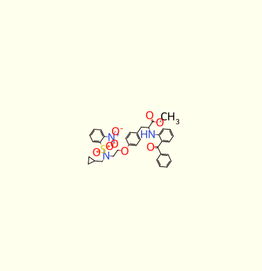 COC(=O)C(Cc1ccc(OCCN(CC2CC2)S(=O)(=O)c2ccccc2[N+](=O)[O-])cc1)Nc1ccccc1C(=O)c1ccccc1